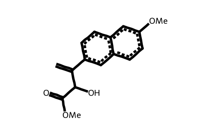 C=C(c1ccc2cc(OC)ccc2c1)C(O)C(=O)OC